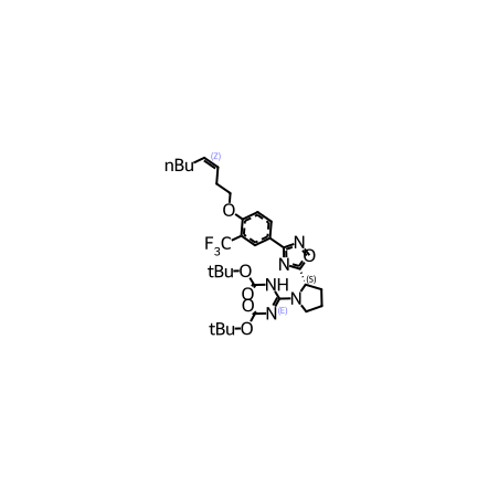 CCCC/C=C\CCOc1ccc(-c2noc([C@@H]3CCCN3/C(=N/C(=O)OC(C)(C)C)NC(=O)OC(C)(C)C)n2)cc1C(F)(F)F